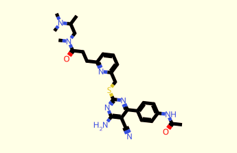 CC(=O)Nc1ccc(-c2nc(SCc3cccc(CCC(=O)N(C)CC(C)N(C)C)n3)nc(N)c2C#N)cc1